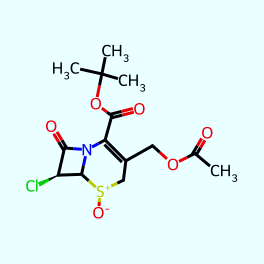 CC(=O)OCC1=C(C(=O)OC(C)(C)C)N2C(=O)[C@H](Cl)C2[S+]([O-])C1